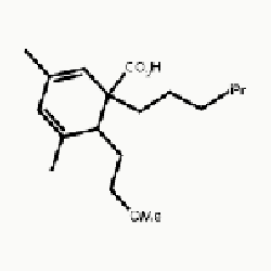 COCCC1C(C)=CC(C)=CC1(CCCC(C)C)C(=O)O